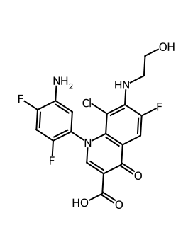 Nc1cc(-n2cc(C(=O)O)c(=O)c3cc(F)c(NCCO)c(Cl)c32)c(F)cc1F